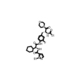 CCC(=O)N[C@H](Cc1ccc(NC(=O)[C@@H](NC(=O)c2ccnn2CC)C2CCCCC2)c(F)c1)C(=O)N1CCOCC1